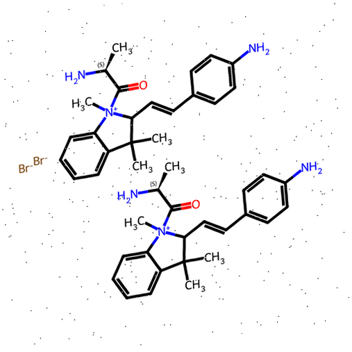 C[C@H](N)C(=O)[N+]1(C)c2ccccc2C(C)(C)C1C=Cc1ccc(N)cc1.C[C@H](N)C(=O)[N+]1(C)c2ccccc2C(C)(C)C1C=Cc1ccc(N)cc1.[Br-].[Br-]